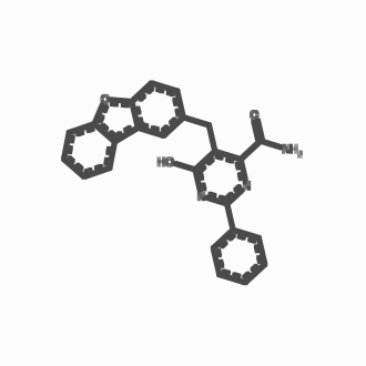 NC(=O)c1nc(-c2ccccc2)nc(O)c1Cc1ccc2oc3ccccc3c2c1